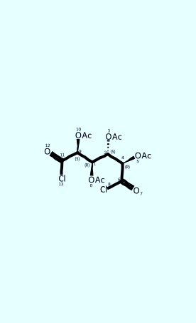 CC(=O)O[C@H]([C@H](OC(C)=O)[C@@H](OC(C)=O)C(=O)Cl)[C@H](OC(C)=O)C(=O)Cl